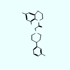 C=C(CN1CCC(c2cccc(C(F)(F)F)c2)CC1)N1CCCc2cc(Cl)cc(N)c21